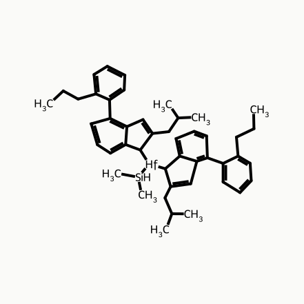 CCCc1ccccc1-c1cccc2c1C=C(CC(C)C)[CH]2[Hf]([CH]1C(CC(C)C)=Cc2c(-c3ccccc3CCC)cccc21)[SiH](C)C